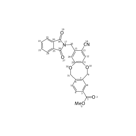 COC(=O)c1ccc2c(c1)COc1cc(C#N)c(CN3C(=O)c4ccccc4C3=O)cc1OC2